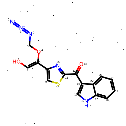 [N-]=[N+]=NCO/C(=C\O)c1csc(C(=O)c2c[nH]c3ccccc23)n1